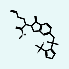 C=CCCC(C(=C)NC)C1Cc2cc(CC(C)(C)C3=CCC=C3C(C)(F)F)ccc2C1=C